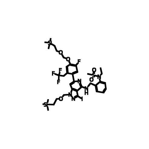 CCN(c1ccccc1CNc1nc(-c2cc(F)c(OCOCC[Si](C)(C)C)cc2CC(F)(F)F)cc2c1c(I)nn2COCC[Si](C)(C)C)S(C)(=O)=O